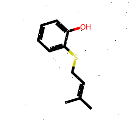 CC(C)=CCSc1ccccc1O